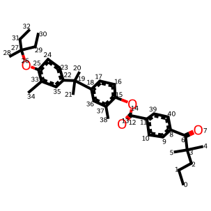 CCCC(C)(C)C(=O)c1ccc(C(=O)Oc2ccc(C(C)(C)c3ccc(OC(C)(CC)CC)c(C)c3)cc2C)cc1